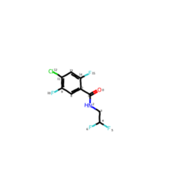 O=C(NCC(F)F)c1cc(F)c(Cl)cc1F